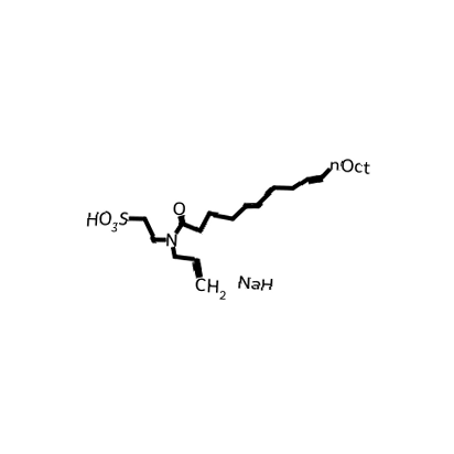 C=CCN(CCS(=O)(=O)O)C(=O)CCCCCCCC=CCCCCCCCC.[NaH]